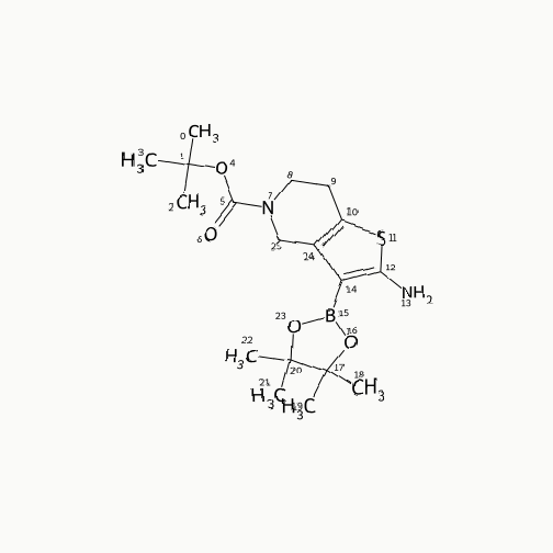 CC(C)(C)OC(=O)N1CCc2sc(N)c(B3OC(C)(C)C(C)(C)O3)c2C1